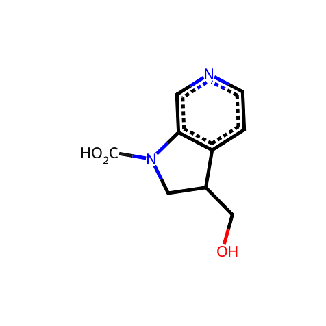 O=C(O)N1CC(CO)c2ccncc21